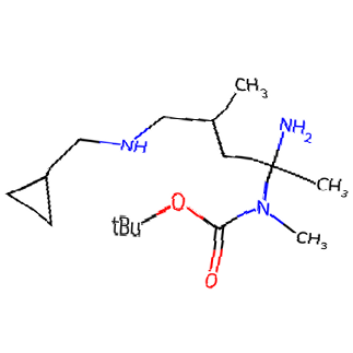 CC(CNCC1CC1)CC(C)(N)N(C)C(=O)OC(C)(C)C